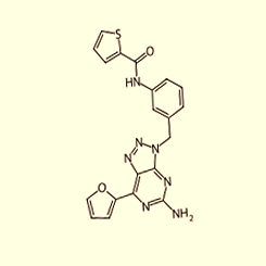 Nc1nc(-c2ccco2)c2nnn(Cc3cccc(NC(=O)c4cccs4)c3)c2n1